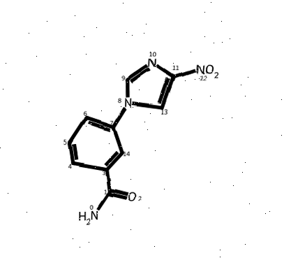 NC(=O)c1cccc(-n2cnc([N+](=O)[O-])c2)c1